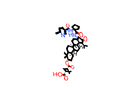 Cc1ccc(C(=O)NC2(C(=O)N[C@@]34CC[C@]5(C)[C@H](CC[C@@H]6[C@@]7(C)CC[C@H](OC(=O)[C@H]8C[C@@H](C(=O)O)C8(C)C)C(C)(C)C7CC[C@]65C)C3=C(C(C)C)C(=O)C4)CCCC2)cn1